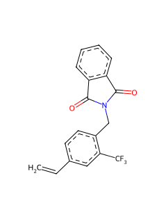 C=Cc1ccc(CN2C(=O)c3ccccc3C2=O)c(C(F)(F)F)c1